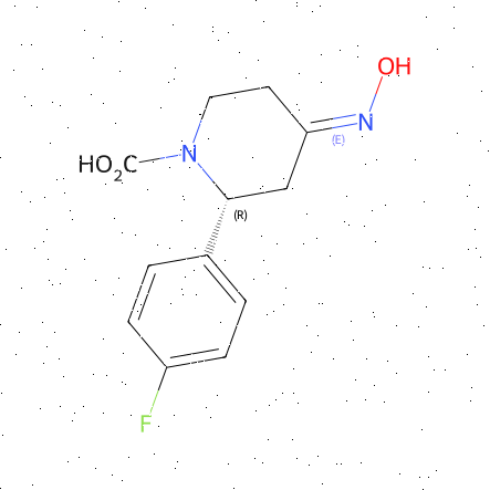 O=C(O)N1CC/C(=N\O)C[C@@H]1c1ccc(F)cc1